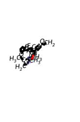 C=CC(=O)N1CCN(c2nc(=O)n3c4nc(c(F)cc24)-c2c(F)cccc2O[C@@H](C)CCCC(/C=C\N=C)=C\3C(C)C)[C@@H](C)C1